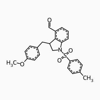 COc1ccc(CC2CN(S(=O)(=O)c3ccc(C)cc3)c3cccc(C=O)c32)cc1